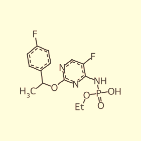 CCOP(=O)(O)Nc1nc(OC(C)c2ccc(F)cc2)ncc1F